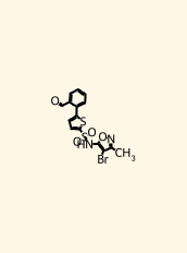 Cc1noc(NS(=O)(=O)c2ccc(-c3ccccc3C=O)s2)c1Br